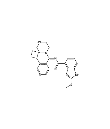 CSc1cc2c(-c3nc(N4CCNCC4)c4c(C5CCC5)cncc4n3)ccnc2[nH]1